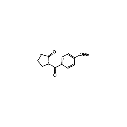 COc1ccc(C(=O)N2CC[CH]C2=O)cc1